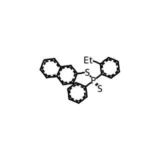 CCc1ccccc1P(=S)(Sc1ccc2ccccc2c1)c1ccccc1